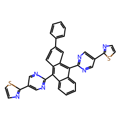 c1ccc(-c2ccc3c(-c4ncc(-c5nccs5)cn4)c4ccccc4c(-c4ncc(-c5nccs5)cn4)c3c2)cc1